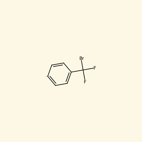 FC(F)(Br)c1cc[c]cc1